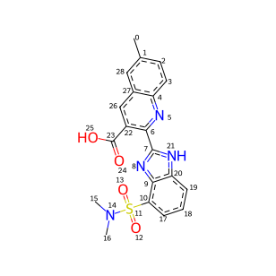 Cc1ccc2nc(-c3nc4c(S(=O)(=O)N(C)C)cccc4[nH]3)c(C(=O)O)cc2c1